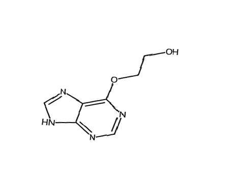 OCCOc1ncnc2[nH]cnc12